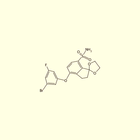 NS(=O)(=O)c1ccc(Oc2cc(F)cc(Br)c2)c2c1C1(CC2)OCCO1